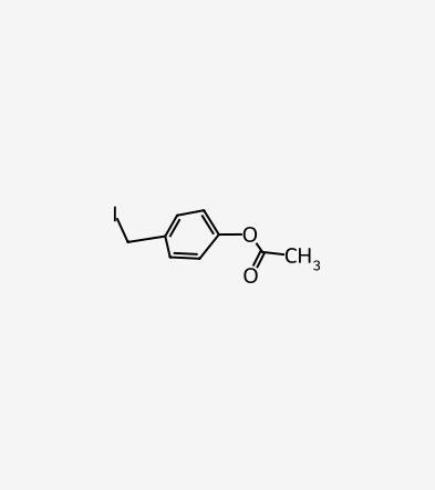 CC(=O)Oc1ccc(CI)cc1